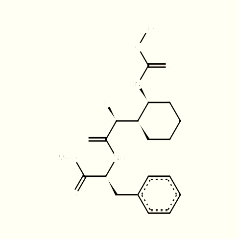 COC(=O)[C@H](Cc1ccccc1)NC(=O)[C@@H](C)[C@@H]1CCCC[C@@H]1NC(=O)OC(C)(C)C